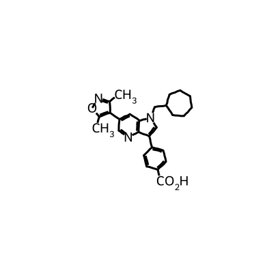 Cc1noc(C)c1-c1cnc2c(-c3ccc(C(=O)O)cc3)cn(CC3CCCCCC3)c2c1